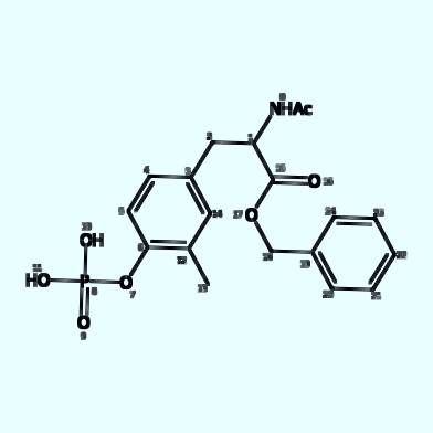 CC(=O)NC(Cc1ccc(OP(=O)(O)O)c(C)c1)C(=O)OCc1ccccc1